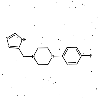 Fc1ccc(N2CCN(Cc3cnc[nH]3)CC2)cc1